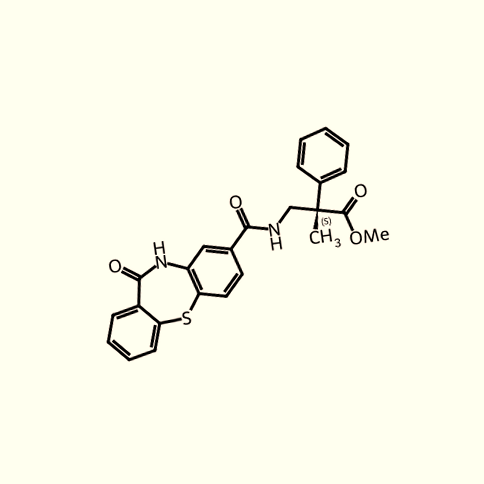 COC(=O)[C@](C)(CNC(=O)c1ccc2c(c1)NC(=O)c1ccccc1S2)c1ccccc1